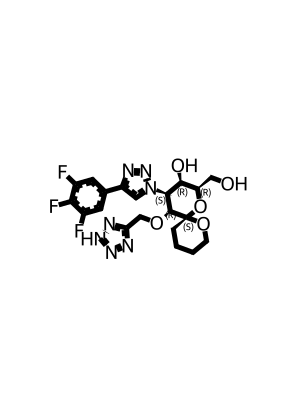 OC[C@H]1O[C@@]2(CCCCO2)[C@H](OCc2nn[nH]n2)[C@@H](n2cc(-c3cc(F)c(F)c(F)c3)nn2)[C@H]1O